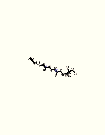 C#CCOC/C=C(\C)CC/C=C(\C)CCC1OC1(C)CC